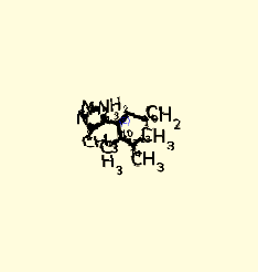 C=C/C=C(/c1[nH]nnc1C)C(C)C(C)C